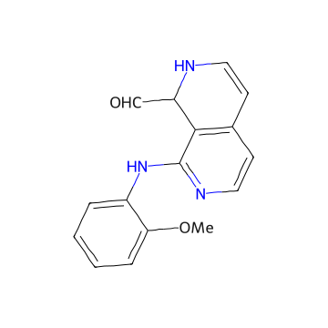 COc1ccccc1Nc1nccc2c1C(C=O)NC=C2